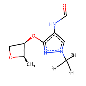 [2H]C([2H])([2H])n1cc(NC=O)c(O[C@@H]2CO[C@@H]2C)n1